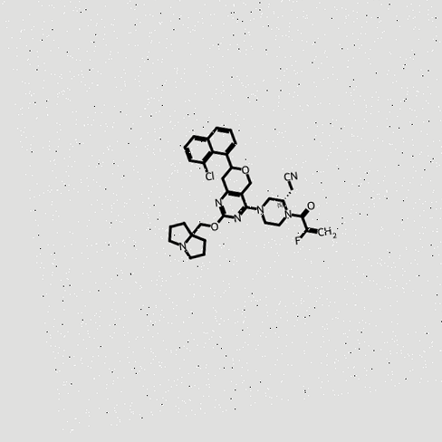 C=C(F)C(=O)N1CCN(c2nc(OCC34CCCN3CCC4)nc3c2COC(c2cccc4cccc(Cl)c24)C3)C[C@@H]1CC#N